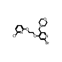 Clc1cccc(OCCOc2cc(Br)ncc2CN2CCOCC2)n1